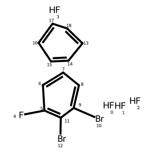 F.F.F.F.Fc1cccc(Br)c1Br.c1ccccc1